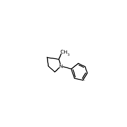 CC1CCCN1c1c[c]ccc1